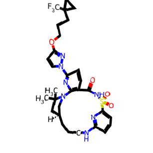 CC1(C)C[C@@H]2CCCNc3cccc(n3)S(=O)(=O)NC(=O)c3ccc(-n4ccc(OCCCC5(C(F)(F)F)CC5)n4)nc3N1C2